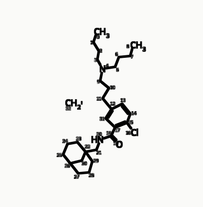 CCCCN(CCCC)CCCc1ccc(Cl)c(C(=O)NCC23CCCC(CCC2)C3)c1.[CH2]